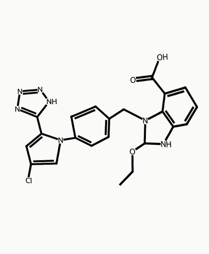 CCOC1Nc2cccc(C(=O)O)c2N1Cc1ccc(-n2cc(Cl)cc2-c2nnn[nH]2)cc1